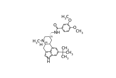 COc1ccc(C(=O)NC[C@@H]2CC3c4cc(C(C)(C)C)cc5[nH]cc(c45)C[C@H]3N(C)C2)cc1OC